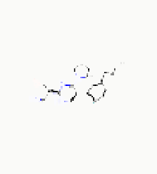 CCOC/C(C=N)=C1\N=C(N2CCC[C@@H]2c2cc(F)ccc2CCOC)C=CN1